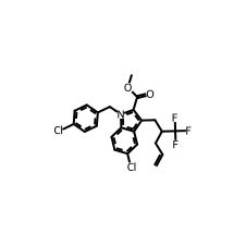 C=CCC(Cc1c(C(=O)OC)n(Cc2ccc(Cl)cc2)c2ccc(Cl)cc12)C(F)(F)F